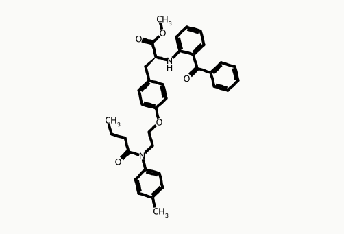 CCCC(=O)N(CCOc1ccc(C[C@H](Nc2ccccc2C(=O)c2ccccc2)C(=O)OC)cc1)c1ccc(C)cc1